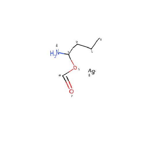 CCCC(N)OC=O.[Ag]